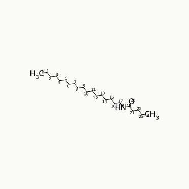 CCCCCCCCCCCCCCCCCCNC(=O)CCCC